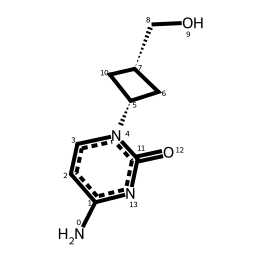 Nc1ccn([C@H]2C[C@@H](CO)C2)c(=O)n1